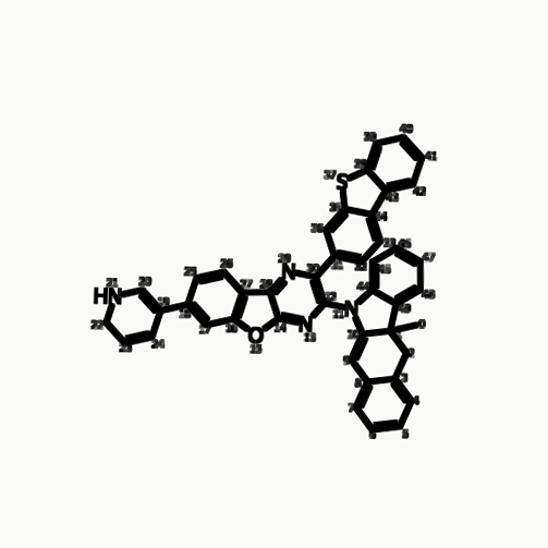 CC12Cc3ccccc3C=C1N(c1nc3oc4cc(C5=CNCC=C5)ccc4c3nc1-c1ccc3c(c1)sc1ccccc13)c1ccccc12